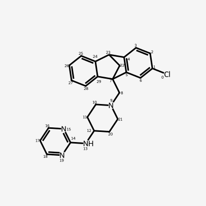 Clc1ccc2c(c1)C1(CN3CCC(Nc4ncccn4)CC3)CC2c2ccccc21